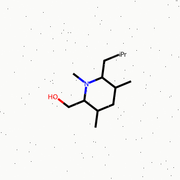 CC(C)CC1C(C)CC(C)C(CO)N1C